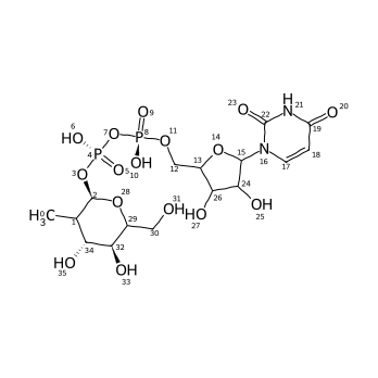 CC1[C@@H](O[P@@](=O)(O)O[P@@](=O)(O)OCC2OC(n3ccc(=O)[nH]c3=O)C(O)C2O)OC(CO)[C@@H](O)[C@@H]1O